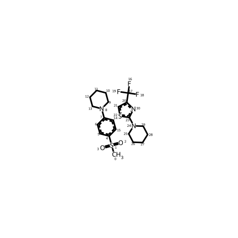 CS(=O)(=O)c1ccc(N2CCCCC2)cc1.FC(F)(F)c1csc(N2CCCCC2)n1